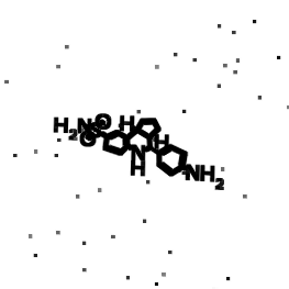 Nc1ccc([C@H]2Nc3ccc(S(N)(=O)=O)cc3[C@H]3C=CC[C@H]32)cc1